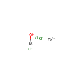 CCO.[Cl-].[Cl-].[Cl-].[Yb+3]